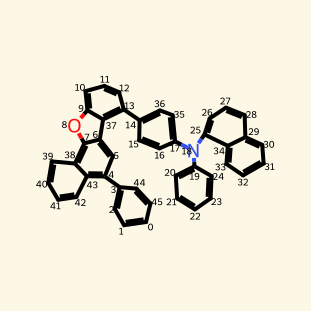 c1ccc(-c2cc3c(oc4cccc(-c5ccc(N(c6ccccc6)c6cccc7ccccc67)cc5)c43)c3ccccc23)cc1